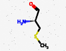 CSC[C@H](N)C=O